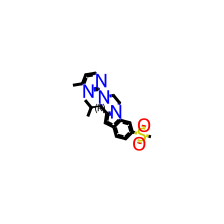 Cc1ccnc(N2CCn3c(cc4ccc(S(C)(=O)=O)cc43)[C@H]2C(C)C)n1